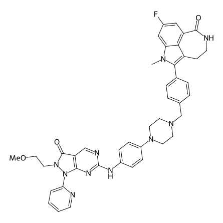 COCCn1c(=O)c2cnc(Nc3ccc(N4CCN(Cc5ccc(-c6c7c8c(cc(F)cc8n6C)C(=O)NCC7)cc5)CC4)cc3)nc2n1-c1ccccn1